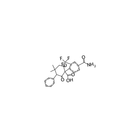 CC1(C)CC(=O)C(C(=O)O)(c2ccc(C(N)=O)cc2C(F)(F)F)C(=O)C1c1ccccc1